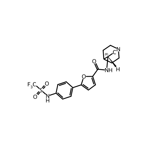 O=C(N[C@H]1CN2CCC1CC2)c1ccc(-c2ccc(NS(=O)(=O)C(F)(F)F)cc2)o1